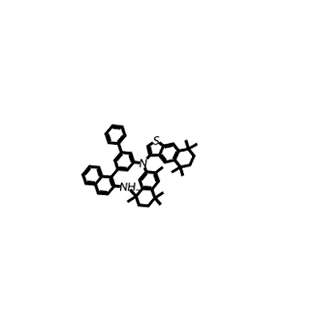 Cc1cc2c(cc1N(c1cc(-c3ccccc3)cc(-c3c(N)ccc4ccccc34)c1)c1csc3cc4c(cc13)C(C)(C)CCC4(C)C)C(C)(C)CCC2(C)C